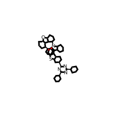 c1ccc(-c2nc(-c3ccccc3)nc(-c3ccc4c(c3)sc3cc(-c5cccc6oc7cccc(-n8c9ccccc9c9ccccc98)c7c56)ccc34)n2)cc1